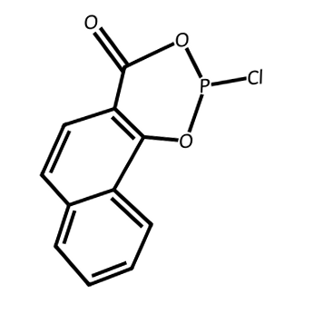 O=C1OP(Cl)Oc2c1ccc1ccccc21